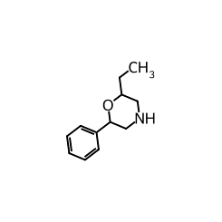 CCC1CNCC(c2ccccc2)O1